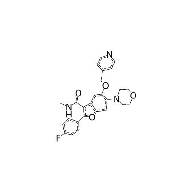 CNC(=O)c1c(-c2ccc(F)cc2)oc2cc(N3CCOCC3)c(OCc3ccncc3)cc12